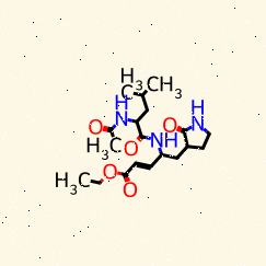 CCOC(=O)/C=C/C(CC1CCNC1=O)NC(=O)C(CC(C)C)NC(C)=O